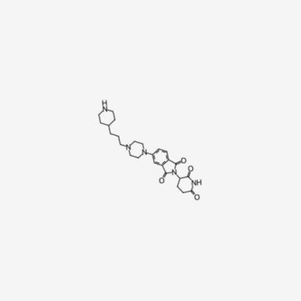 O=C1CCC(N2C(=O)c3ccc(N4CCN(CCCC5CCNCC5)CC4)cc3C2=O)C(=O)N1